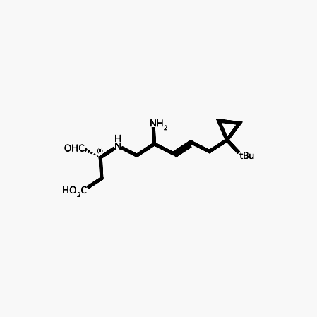 CC(C)(C)C1(CC=CC(N)CN[C@@H](C=O)CC(=O)O)CC1